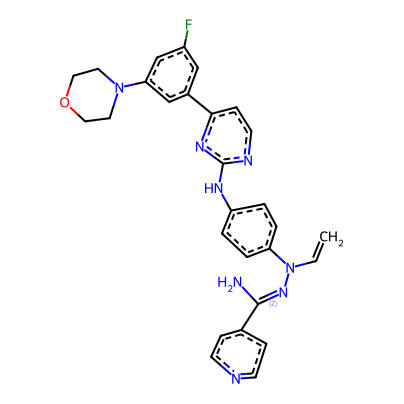 C=CN(/N=C(\N)c1ccncc1)c1ccc(Nc2nccc(-c3cc(F)cc(N4CCOCC4)c3)n2)cc1